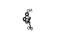 COC(=O)CCCC(=O)c1ccsc1-c1c(O)cccc1-c1ccc(O)cc1